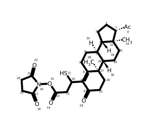 CC(=O)[C@H]1CC[C@H]2[C@@H]3CCC4=C(C(S)CC(=O)ON5C(=O)CCC5=O)C(=O)CC[C@]4(C)[C@H]3CC[C@]12C